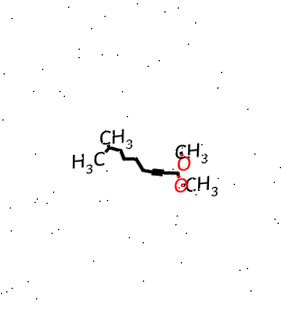 COC(C#CCCCCC(C)C)OC